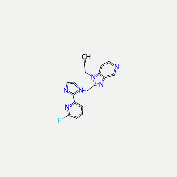 C#CCn1c(Cn2ccnc2-c2cccc(F)n2)nc2cnccc21